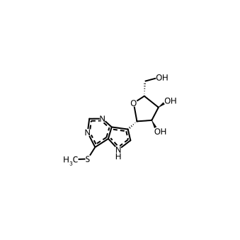 CSc1ncnc2c([C@@H]3O[C@H](CO)[C@@H](O)[C@H]3O)c[nH]c12